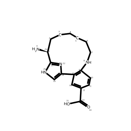 N[C@H]1CCCCCCNc2ccc(C(=O)O)cc2-c2c[nH]c1n2